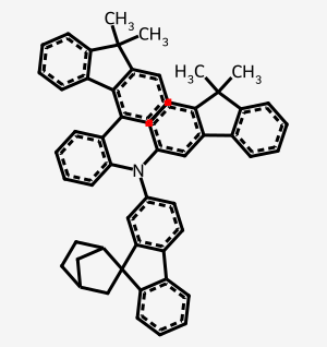 CC1(C)c2ccccc2-c2cc(N(c3ccc4c(c3)C3(CC5CCC3C5)c3ccccc3-4)c3ccccc3-c3cccc4c3-c3ccccc3C4(C)C)ccc21